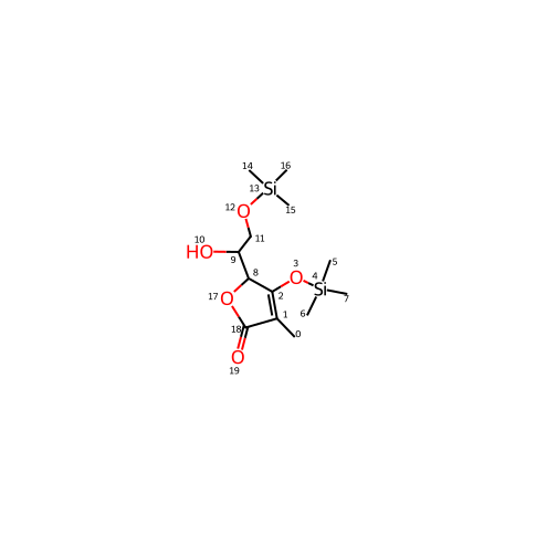 CC1=C(O[Si](C)(C)C)C(C(O)CO[Si](C)(C)C)OC1=O